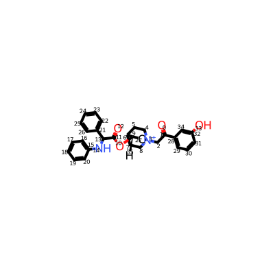 O=C(C[N+]12CCC(CC1)[C@@H](OC(=O)C(Nc1ccccc1)c1ccccc1)C2)c1cccc(O)c1